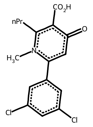 CCCc1c(C(=O)O)c(=O)cc(-c2cc(Cl)cc(Cl)c2)n1C